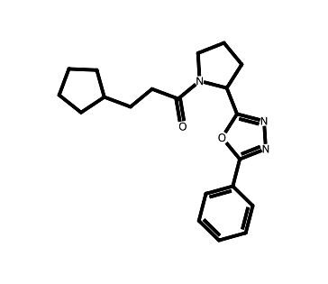 O=C(CCC1CCCC1)N1CCCC1c1nnc(-c2ccccc2)o1